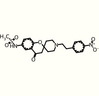 CS(=O)(=O)Nc1ccc2c(c1)C(=O)CC1(CCN(CCc3ccc([N+](=O)[O-])cc3)CC1)O2